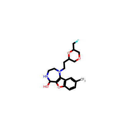 OC1NCCN(CCC2COCC(CF)O2)c2c1oc1ccc(C(F)(F)F)cc21